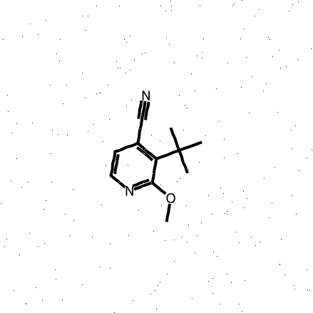 COc1nccc(C#N)c1C(C)(C)C